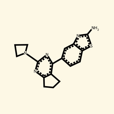 Nc1nc2cc(-c3nc(N4CCC4)nc4c3CCC4)ccc2s1